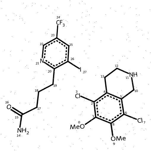 COc1c(Cl)c2c(c(Cl)c1OC)CNCC2.NC(=O)CCCc1ncc(C(F)(F)F)cc1I